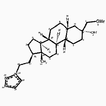 COC[C@@]1(O)CC[C@H]2[C@H](CC[C@@H]3[C@@H]2CC[C@]2(C)[C@@H](CCn4ccnn4)CC[C@@H]32)C1